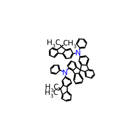 CC1(C)c2ccccc2-c2ccc(N(c3ccccc3)c3ccc4c(c3)C3(c5ccccc5-4)c4ccccc4-c4c(N(c5ccccc5)c5ccc6c(c5)C(C)(C)c5ccccc5-6)cccc43)cc21